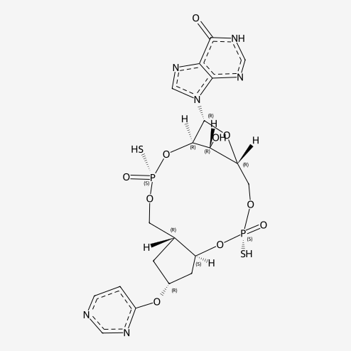 O=c1[nH]cnc2c1ncn2[C@@H]1O[C@@H]2CO[P@](=O)(S)O[C@H]3C[C@H](Oc4ccncn4)C[C@@H]3CO[P@](=O)(S)O[C@@H]1[C@@H]2O